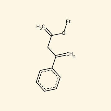 C=C(CC(=C)c1ccccc1)OCC